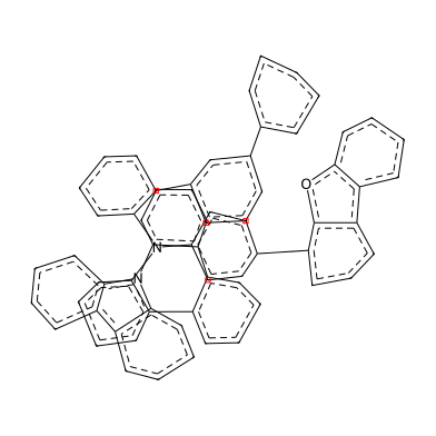 c1ccc(-c2cccc(-c3ccccc3N(c3ccc(-c4cccc5c4oc4ccccc45)cc3)c3ccccc3-c3ccccc3-c3ccccc3-n3c4ccccc4c4ccccc43)c2)cc1